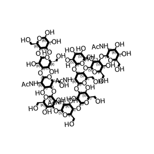 CC(=O)N[C@H]1[C@H](O[C@H]2[C@@H](O)[C@@H](CO)O[C@@H](O[C@H]3[C@H](O)[C@@H](O)[C@H](O)O[C@@H]3CO)[C@@H]2O)O[C@H](CO)[C@@H](O[C@@H]2O[C@H](CO)[C@H](O)[C@H](O[C@@H]3O[C@H](CO)[C@@H](O[C@@H]4O[C@H](CO)[C@H](O)[C@H](O[C@@H]5O[C@H](CO)[C@@H](O[C@@H]6O[C@H](CO)[C@H](O)[C@H](O[C@@H]7O[C@H](CO)[C@@H](O)[C@H](O)[C@H]7NC(C)=O)[C@H]6O)[C@H](O[C@@H]6O[C@@H](C)[C@@H](O)[C@@H](O)[C@@H]6O)[C@H]5NC(C)=O)[C@H]4O)[C@H](O)[C@H]3NC(C)=O)[C@H]2O)[C@@H]1O